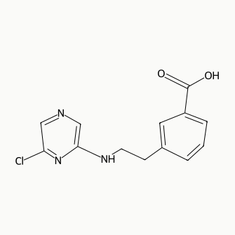 O=C(O)c1cccc(CCNc2cncc(Cl)n2)c1